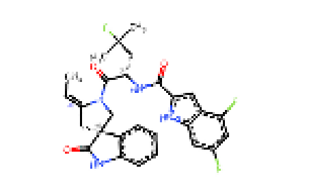 C/C=C1/C[C@@]2(CN1C(=O)[C@H](CC(C)(C)F)NC(=O)c1cc3c(F)cc(F)cc3[nH]1)C(=O)Nc1ccccc12